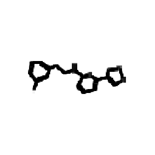 Fc1cccc(CCNc2[c]ccc(-c3cnoc3)n2)c1